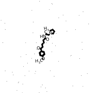 COc1ccc(C(=O)CCCCC(=O)NC(C)CN2CCCC2)cc1